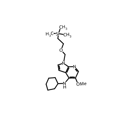 COc1cnc2c(ccn2COCC[Si](C)(C)C)c1NC1CCCCC1